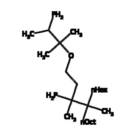 CCCCCCCCC(C)(CCCCCC)C(C)(P)CCOC(C)(C)C(C)P